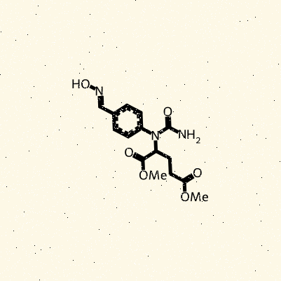 COC(=O)CCC(C(=O)OC)N(C(N)=O)c1ccc(C=NO)cc1